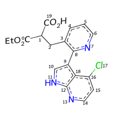 CCOC(=O)C(Cc1cccnc1-c1c[nH]c2nccc(Cl)c12)C(=O)O